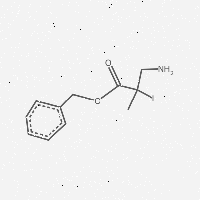 CC(I)(CN)C(=O)OCc1ccccc1